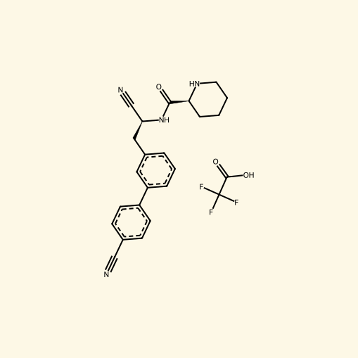 N#Cc1ccc(-c2cccc(C[C@@H](C#N)NC(=O)[C@@H]3CCCCN3)c2)cc1.O=C(O)C(F)(F)F